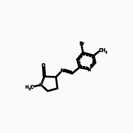 Cc1cnc(/C=N/C2CCN(C)C2=O)cc1Br